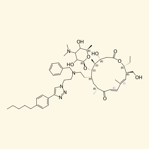 CCCCCc1ccc(-c2cn(CCN(CC[C@H]3C[C@@H](C)C(=O)/C=C/C(C)=C/[C@H](CO)[C@@H](CC)OC(=O)C[C@@H](O)[C@H](C)[C@H]3O[C@@H]3O[C@H](C)C(O)C(N(C)C)C3O)Cc3ccccc3)nn2)cc1